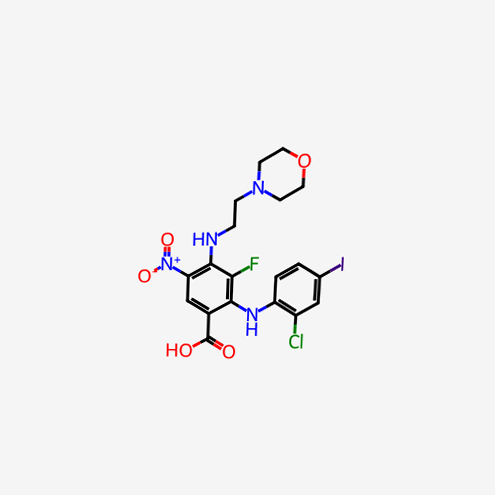 O=C(O)c1cc([N+](=O)[O-])c(NCCN2CCOCC2)c(F)c1Nc1ccc(I)cc1Cl